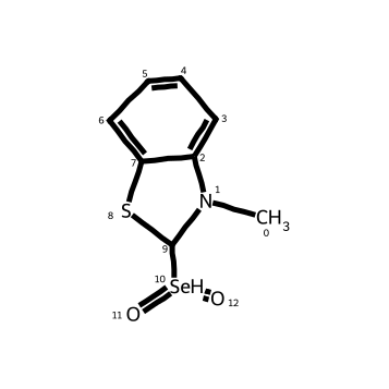 CN1c2ccccc2SC1[SeH](=O)=O